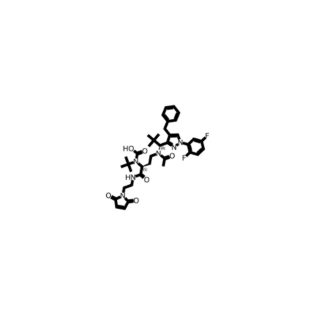 CC(=O)N(CC[C@@H](C(=O)NCCN1C(=O)C=CC1=O)N(C(=O)O)C(C)(C)C)[C@@H](c1nn(-c2cc(F)ccc2F)cc1Cc1ccccc1)C(C)(C)C